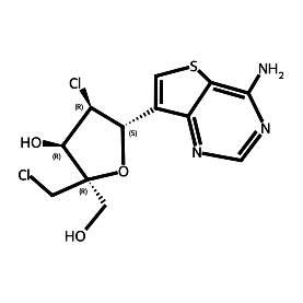 Nc1ncnc2c([C@@H]3O[C@@](CO)(CCl)[C@@H](O)[C@H]3Cl)csc12